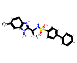 CCn1c(C(C)NS(=O)(=O)c2ccc(-c3ccccc3)cc2)nc2ccc(C(F)(F)F)cc21